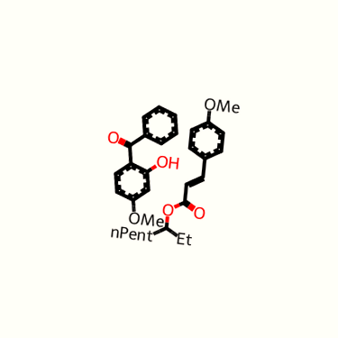 CCCCCC(CC)OC(=O)/C=C/c1ccc(OC)cc1.COc1ccc(C(=O)c2ccccc2)c(O)c1